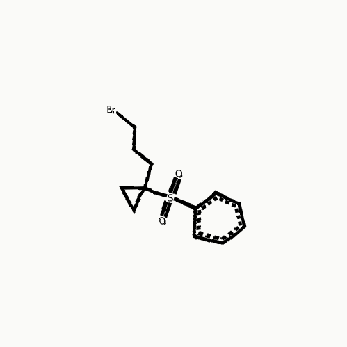 O=S(=O)(c1ccccc1)C1(CCCBr)CC1